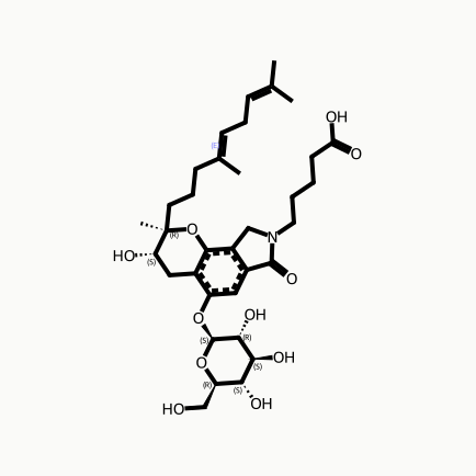 CC(C)=CC/C=C(\C)CCC[C@@]1(C)Oc2c(c(O[C@@H]3O[C@H](CO)[C@@H](O)[C@H](O)[C@H]3O)cc3c2CN(CCCCC(=O)O)C3=O)C[C@@H]1O